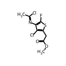 COC(=O)Cc1sc(F)c(N=C(C)Cl)c1Cl